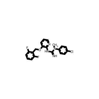 CN(C(=N)Nc1ncccc1OCc1c(F)cccc1F)c1ccc(Cl)cc1